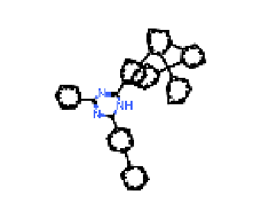 c1ccc(C2=NC(c3ccc(-c4ccccc4)cc3)NC(c3ccc(-c4cccc5c4C(c4ccccc4)(c4ccccc4)c4ccccc4-5)cc3)=N2)cc1